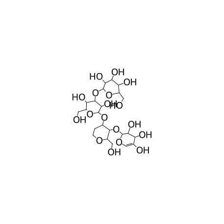 OCC1OC(OC2C(O)C(CO)OC(OC3CCOC(CO)C3OC3OC=C(O)C(O)C3O)C2O)C(O)C(O)C1O